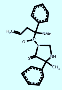 C=CCC(NC)(c1ccccc1)[S+]([O-])N1CNC(C)(c2ccccc2)C1=S